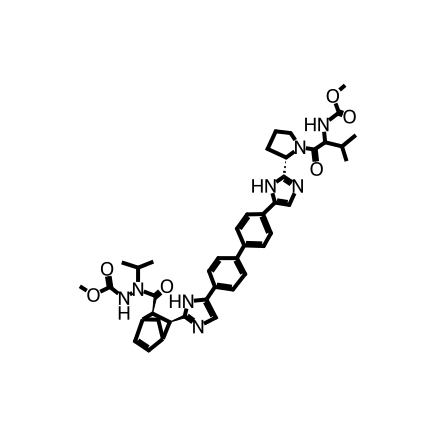 COC(=O)NC(C(=O)N1CCC[C@H]1c1ncc(-c2ccc(-c3ccc(-c4cnc([C@H]5C6C=CC(C6)[C@H]5C(=O)N(NC(=O)OC)C(C)C)[nH]4)cc3)cc2)[nH]1)C(C)C